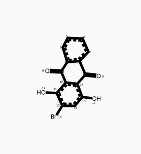 O=C1c2ccccc2C(=O)c2c(O)c(Br)cc(O)c21